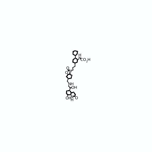 O=C(O)Nc1cc(CCCn2c(=O)oc3cc(CNC[C@@H](O)c4ccc(O)c5[nH]c(=O)ccc45)ccc32)ccc1-c1ccccc1